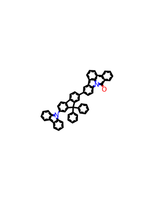 O=c1c2ccccc2c2cccc3c4cc(-c5ccc6c(c5)C(c5ccccc5)(c5ccccc5)c5cc(-n7c8ccccc8c8ccccc87)ccc5-6)ccc4n1c23